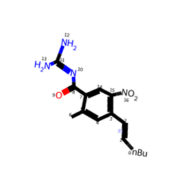 CCCC/C=C/c1cc(C)c(C(=O)N=C(N)N)cc1[N+](=O)[O-]